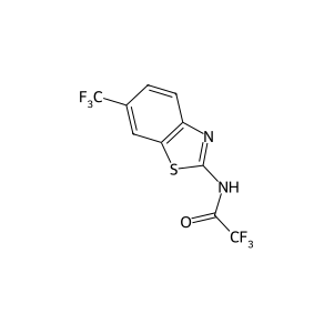 O=C(Nc1nc2ccc(C(F)(F)F)cc2s1)C(F)(F)F